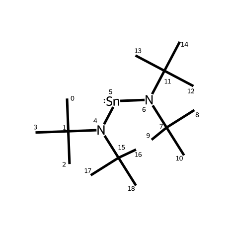 CC(C)(C)[N]([Sn][N](C(C)(C)C)C(C)(C)C)C(C)(C)C